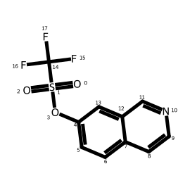 O=S(=O)(Oc1ccc2ccncc2c1)C(F)(F)F